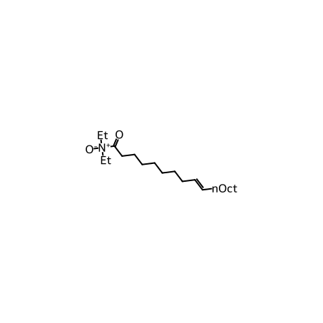 CCCCCCCCC=CCCCCCCCC(=O)[N+]([O-])(CC)CC